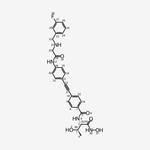 C[C@@H](O)[C@H](NC(=O)c1ccc(C#Cc2ccc(NC(=O)CNCc3cccc(F)c3)cc2)cc1)C(=O)NO